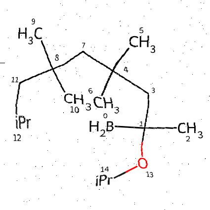 BC(C)(CC(C)(C)CC(C)(C)CC(C)C)OC(C)C